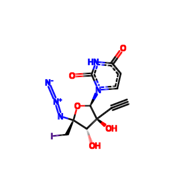 C#C[C@@]1(O)[C@H](n2ccc(=O)[nH]c2=O)O[C@@](CI)(N=[N+]=[N-])[C@H]1O